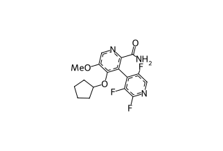 COc1cnc(C(N)=O)c(-c2c(F)cnc(F)c2F)c1OC1CCCC1